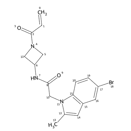 C=CC(=O)N1CC(NC(=O)Cn2c(C)cc3cc(Br)ccc32)C1